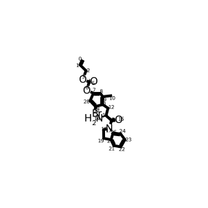 C=CCOC(=O)Oc1cc(C)c(C[C@H](N)C(=O)N2CCc3ccccc32)c(Br)c1